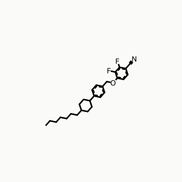 CCCCCCCC1CCC(c2ccc(COc3ccc(C#N)c(F)c3F)cc2)CC1